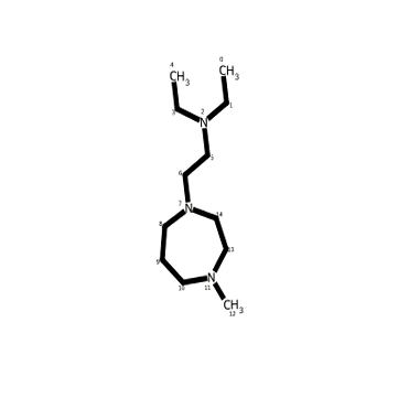 CCN(CC)CCN1CCCN(C)CC1